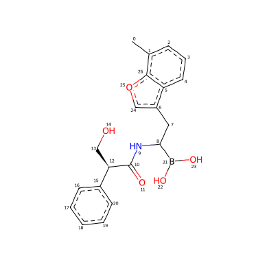 Cc1cccc2c(CC(NC(=O)[C@H](CO)c3ccccc3)B(O)O)coc12